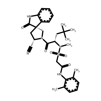 Cc1cccc(C)c1NC(=O)CS(=O)(=O)N(C)[C@@H](CC(C)(C)C)C(=O)N1C[C@]2(C[C@H]1C#N)C(=O)Nc1ccccc12